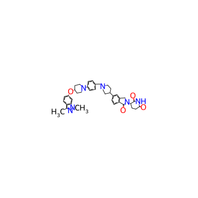 Cc1nn(C)c2cc(OC3CCN(c4ccc(CN5CCC(c6ccc7c(c6)CN(C6CCC(=O)NC6=O)C7=O)CC5)cc4)CC3)ccc12